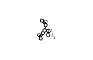 Cc1cncc2c(-c3ccc4oc5ccccc5c4c3)cc3cc4oc5ccccc5c4cc3c12